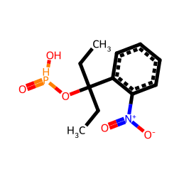 CCC(CC)(O[PH](=O)O)c1ccccc1[N+](=O)[O-]